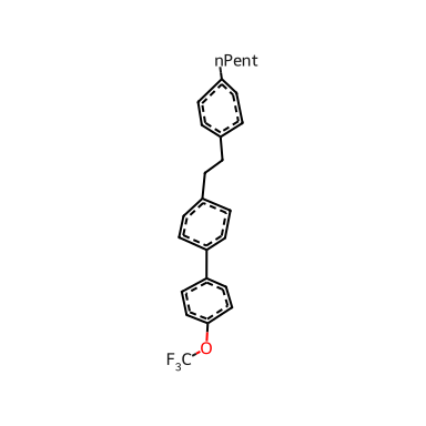 CCCCCc1ccc(CCc2ccc(-c3ccc(OC(F)(F)F)cc3)cc2)cc1